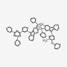 Cc1cc(-n2c3ccccc3c3ccc(C(C)(c4ccccc4)c4cc5c6ccccc6n(-c6cccc(-c7nc(-c8ccccc8)nc(-c8ccccc8)n7)c6)c5cc4C(C)c4ccccc4)cc32)ccc1Oc1ccccc1